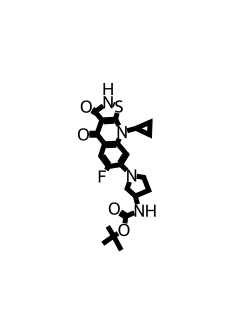 CC(C)(C)OC(=O)NC1CCN(c2cc3c(cc2F)c(=O)c2c(=O)[nH]sc2n3C2CC2)C1